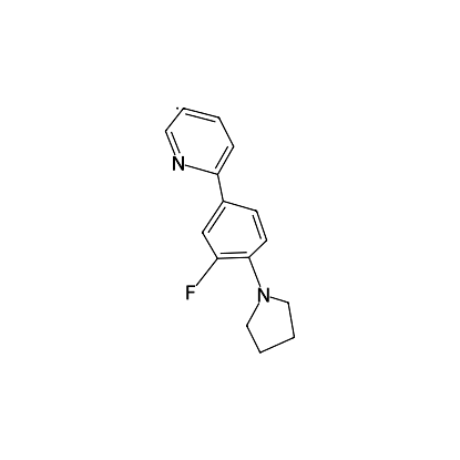 Fc1cc(-c2cc[c]cn2)ccc1N1CCCC1